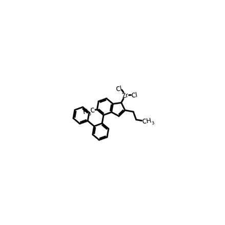 CCCC1=Cc2c(ccc(C)c2-c2ccccc2-c2ccccc2)[CH]1[Zr]([Cl])[Cl]